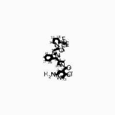 Nc1cc(C(=O)N2CC(c3nn(CC(=O)N4CCC[C@H]4C(F)(F)F)c4ccccc34)C2)c(Cl)cn1